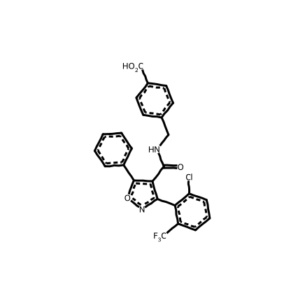 O=C(O)c1ccc(CNC(=O)c2c(-c3c(Cl)cccc3C(F)(F)F)noc2-c2ccccc2)cc1